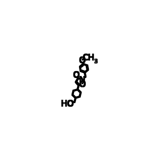 COc1ccc(Cn2oc(C3CCC(CO)CC3)cc2=O)cc1